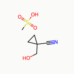 CS(=O)(=O)O.N#CC1(CO)CC1